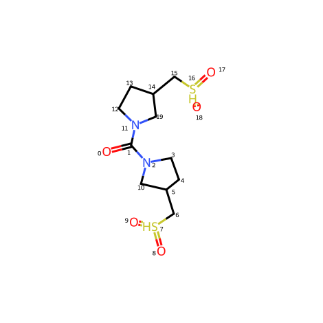 O=C(N1CCC(C[SH](=O)=O)C1)N1CCC(C[SH](=O)=O)C1